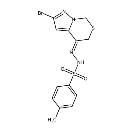 Cc1ccc(S(=O)(=O)N/N=C2\CSCn3nc(Br)cc32)cc1